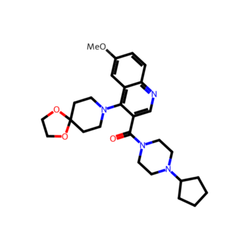 COc1ccc2ncc(C(=O)N3CCN(C4CCCC4)CC3)c(N3CCC4(CC3)OCCO4)c2c1